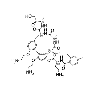 Cc1ccc(C(=O)N[C@@H](CCN)C(=O)N(C)[C@@H]2C(=O)N[C@@H](C)C(=O)N[C@H](C(=O)N[C@@H](C)C(=O)CO)Cc3ccc(OCCN)c(c3)-c3cc2ccc3OCCN)c(C)c1